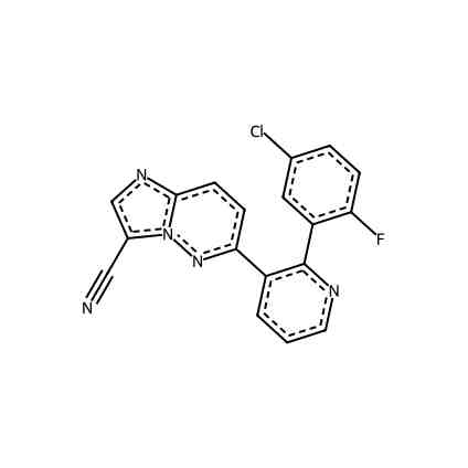 N#Cc1cnc2ccc(-c3cccnc3-c3cc(Cl)ccc3F)nn12